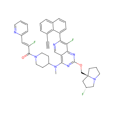 C#Cc1cccc2cccc(-c3ncc4c(N(C)C5CCN(C(=O)/C(F)=C/c6ccccn6)CC5)nc(OC[C@@]56CCCN5C[C@H](F)C6)nc4c3F)c12